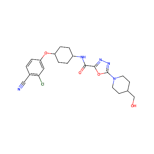 N#Cc1ccc(OC2CCC(NC(=O)c3nnc(N4CCC(CO)CC4)o3)CC2)cc1Cl